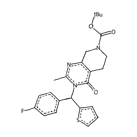 Cc1nc2c(c(=O)n1C(c1ccc(F)cc1)c1cccs1)CCN(C(=O)OC(C)(C)C)C2